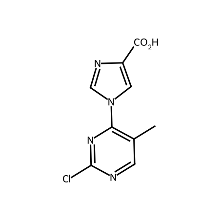 Cc1cnc(Cl)nc1-n1cnc(C(=O)O)c1